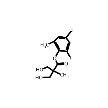 Cc1cc(I)cc(I)c1OC(=O)C(C)(CO)CO